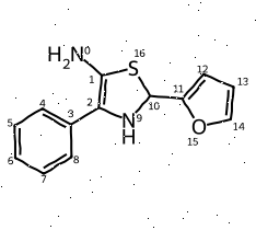 NC1=C(c2ccccc2)NC(c2ccco2)S1